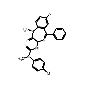 CN(C(=S)NC1N=C(c2ccccc2)c2cc(Cl)ccc2N(C)C1=O)c1ccc(Cl)cc1